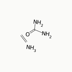 C=C.N.NC(N)=O